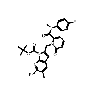 Cc1cc2cc(Cn3c(C(=O)N(C)c4ccc(F)cc4)cccc3=O)n(C(=O)OC(C)(C)C)c2nc1Br